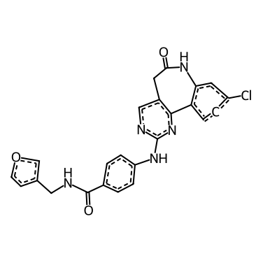 O=C1Cc2cnc(Nc3ccc(C(=O)NCc4ccoc4)cc3)nc2-c2ccc(Cl)cc2N1